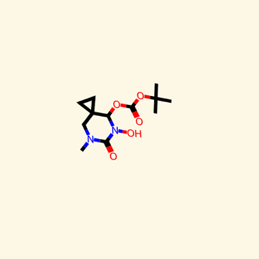 CN1CC2(CC2)C(OC(=O)OC(C)(C)C)N(O)C1=O